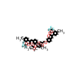 C=CC(=O)OC(C)(C)CC(C)(C)OC(COc1ccc2cc(-c3ccc(C)cc3OC(F)(F)F)c(=O)oc2c1)COc1ccc2cc(-c3ccc(C)cc3OC(F)(F)F)c(=O)oc2c1